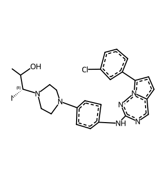 CC(O)[C@@H](I)N1CCN(c2ccc(Nc3ncc4ccc(-c5cccc(Cl)c5)n4n3)cc2)CC1